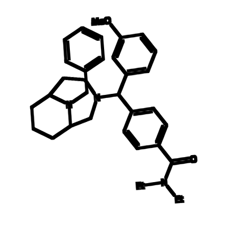 CCN(CC)C(=O)c1ccc(C(c2cccc(OC)c2)N2CCC3CCCC(C2)N3Cc2ccccc2)cc1